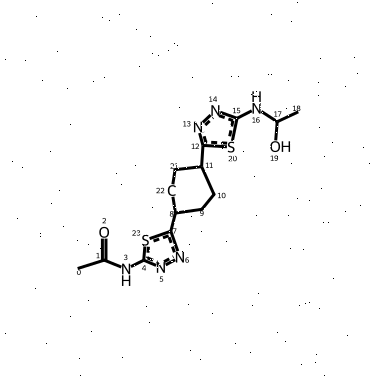 CC(=O)Nc1nnc(C2CCC(c3nnc(NC(C)O)s3)CC2)s1